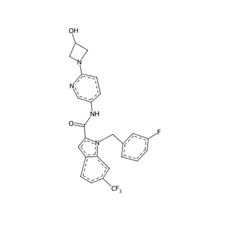 O=C(Nc1ccc(N2CC(O)C2)nc1)c1cc2ccc(C(F)(F)F)cc2n1Cc1cccc(F)c1